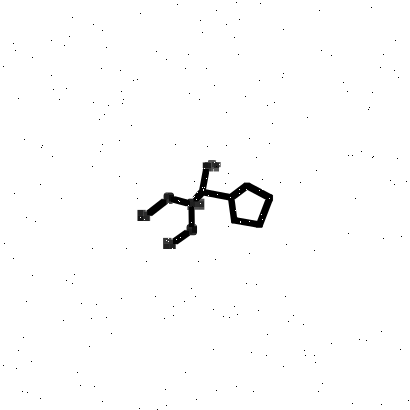 CCCC(C1CCCC1)[SiH](OCC)OCC